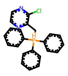 Clc1nccnc1C[PH](c1ccccc1)(c1ccccc1)c1ccccc1